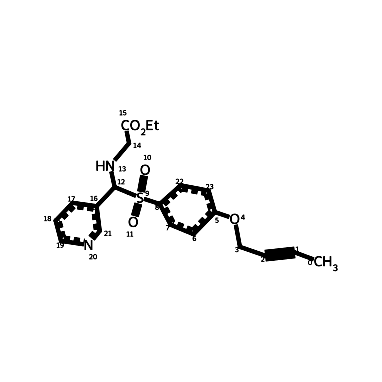 CC#CCOc1ccc(S(=O)(=O)C(NCC(=O)OCC)c2cccnc2)cc1